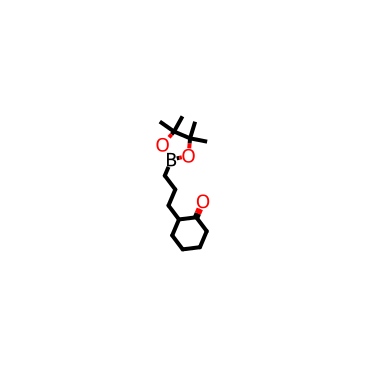 CC1(C)OB(CCCC2CCCCC2=O)OC1(C)C